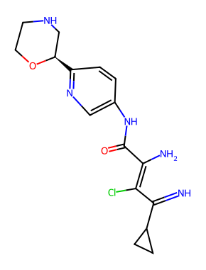 N=C(/C(Cl)=C(\N)C(=O)Nc1ccc([C@@H]2CNCCO2)nc1)C1CC1